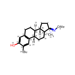 CO/N=C1\CC[C@H]2[C@@H]3CCc4cc(O)c(C(C)(C)C)cc4[C@H]3CC[C@]12C